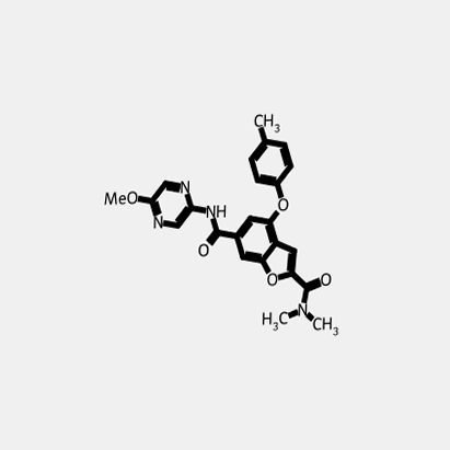 COc1cnc(NC(=O)c2cc(Oc3ccc(C)cc3)c3cc(C(=O)N(C)C)oc3c2)cn1